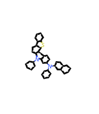 c1ccc(N(c2ccc3ccccc3c2)c2ccc3c4c5sc6ccccc6c5ccc4n(-c4ccccc4)c3c2)cc1